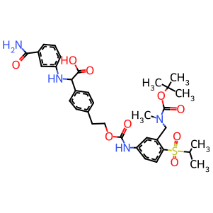 CC(C)S(=O)(=O)c1ccc(NC(=O)OCCc2ccc(C(Nc3cccc(C(N)=O)c3)C(=O)O)cc2)cc1CN(C)C(=O)OC(C)(C)C